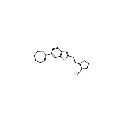 CC1CCCN1CCc1cc2ccc(C3=CCCCCC3)cc2o1